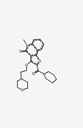 Cn1c(=O)c2c(OCCN3CCOCC3)c(C(=O)N3CCCCC3)sc2c2ccccc21